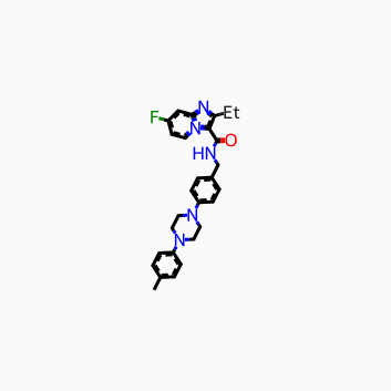 CCc1nc2cc(F)ccn2c1C(=O)NCc1ccc(N2CCN(c3ccc(C)cc3)CC2)cc1